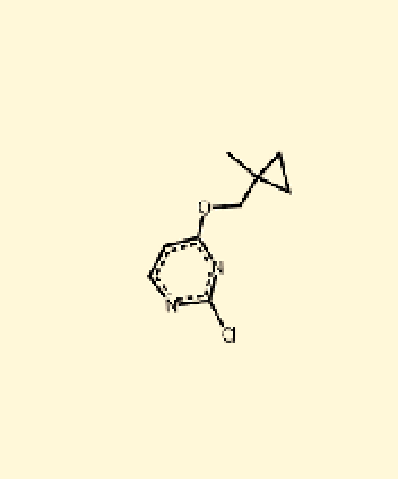 CC1(COc2ccnc(Cl)n2)CC1